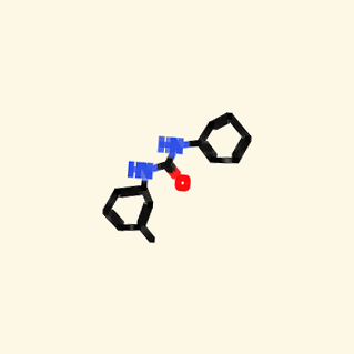 Cc1cccc(NC(=O)Nc2ccccc2)c1